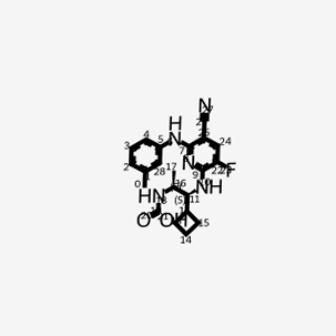 Cc1cccc(Nc2nc(N[C@@H](C3CCC3)[C@H](C)NC(=O)O)c(F)cc2C#N)c1